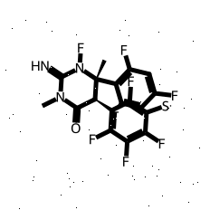 CN1C(=N)N(F)[C@](C)(c2c(F)cc(F)cc2F)[C@@H](c2c(F)c(F)c(F)c([S])c2F)C1=O